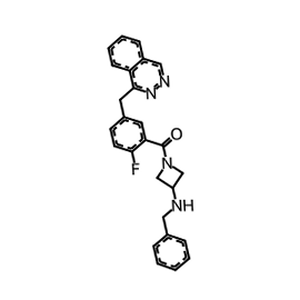 O=C(c1cc(Cc2nncc3ccccc23)ccc1F)N1CC(NCc2ccccc2)C1